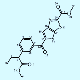 CCC(C(=O)OC)c1cccc(C(=O)c2cc3cc(C(=O)OC)sc3s2)c1